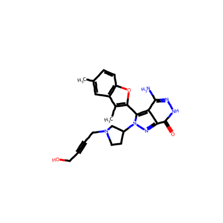 Cc1ccc2oc(-c3c4c(N)n[nH]c(=O)c4nn3C3CCN(CC#CCO)C3)c(C)c2c1